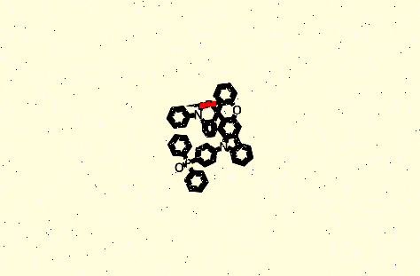 O=P(c1ccccc1)(c1ccccc1)c1ccc(-n2c3ccccc3c3cc4c(cc32)C2(c3ccccc3O4)c3ccccc3N(c3ccccc3)c3ccccc32)cc1